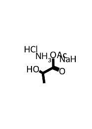 CC(=O)OC(=O)C(C)O.Cl.N.[NaH]